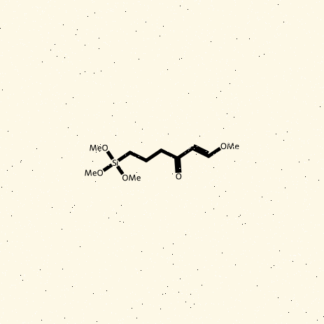 COC=CC(=O)CCC[Si](OC)(OC)OC